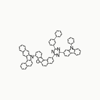 c1ccc(-c2cccc(-c3nc(-c4ccc5ccc6oc7c(-n8c9cc%10ccccc%10cc9c9c%10ccccc%10ccc98)cccc7c6c5c4)nc(-c4ccc5c6ccccc6n(-c6ccccc6)c5c4)n3)c2)cc1